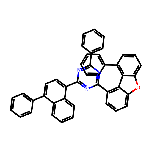 c1ccc(-c2nc(-c3ccc(-c4ccccc4)c4ccccc34)nc(-c3cccc4oc5cccc(-c6ccccc6)c5c34)n2)cc1